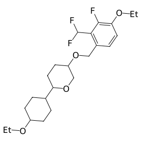 CCOc1ccc(COC2CCC(C3CCC(OCC)CC3)OC2)c(C(F)F)c1F